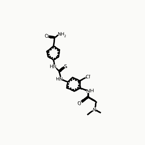 CN(C)CC(=O)Nc1ccc(NC(=S)Nc2ccc(C(N)=O)cc2)cc1Cl